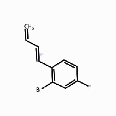 C=C/C=C/c1ccc(F)cc1Br